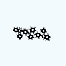 c1ccc(-n2c(-c3ccc(N4c5ccccc5N(c5ccc(-c6nc7ccccc7n6-c6ccccc6)cc5)c5ccccc54)cc3)nc3ccccc32)cc1